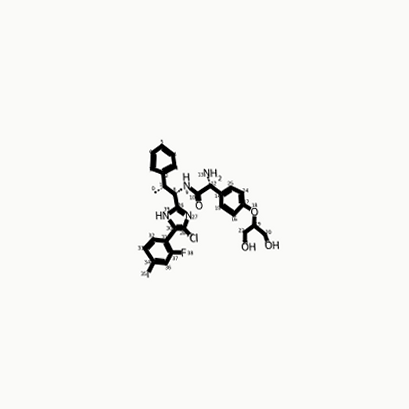 C[C@H](c1ccccc1)[C@H](NC(=O)[C@H](N)c1ccc(OC(CO)CO)cc1)c1nc(Cl)c(-c2ccc(I)cc2F)[nH]1